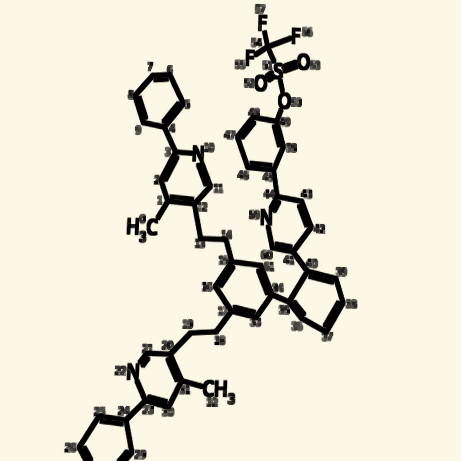 Cc1cc(-c2ccccc2)ncc1CCc1cc(CCc2cnc(-c3ccccc3)cc2C)cc(-c2ccccc2-c2ccc(-c3cccc(OS(=O)(=O)C(F)(F)F)c3)nc2)c1